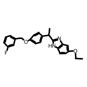 CCOc1ccc2[nH]c(C(C)c3ccc(OCc4cccc(F)c4)cc3)nc2c1